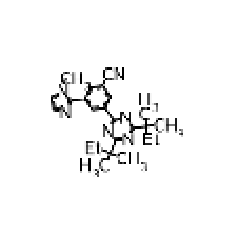 CCC(C)(C)c1nc(-c2cc(C#N)cc(-c3nccn3C)c2)nc(C(C)(C)CC)n1